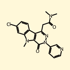 CN(C)C(=O)Cc1nn(-c2cccnc2)c(=O)c2c1c1ccc(Cl)cc1n2C